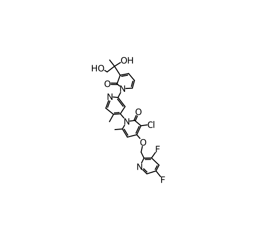 Cc1cnc(-n2cccc(C(C)(O)CO)c2=O)cc1-n1c(C)cc(OCc2ncc(F)cc2F)c(Cl)c1=O